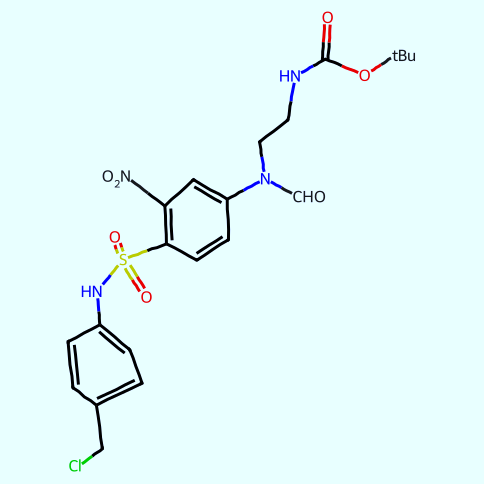 CC(C)(C)OC(=O)NCCN(C=O)c1ccc(S(=O)(=O)Nc2ccc(CCl)cc2)c([N+](=O)[O-])c1